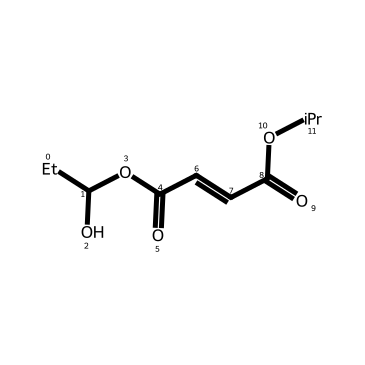 CCC(O)OC(=O)C=CC(=O)OC(C)C